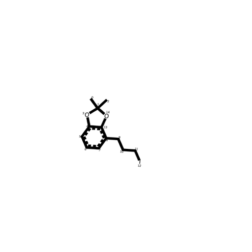 CC1(C)Oc2cccc(CCCI)c2O1